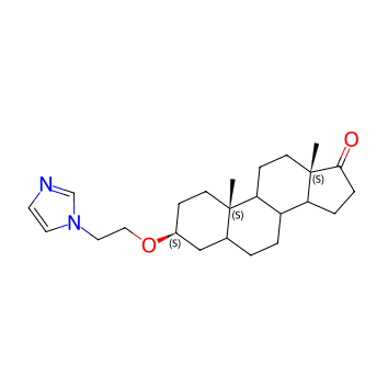 C[C@]12CC[C@H](OCCn3ccnc3)CC1CCC1C2CC[C@]2(C)C(=O)CCC12